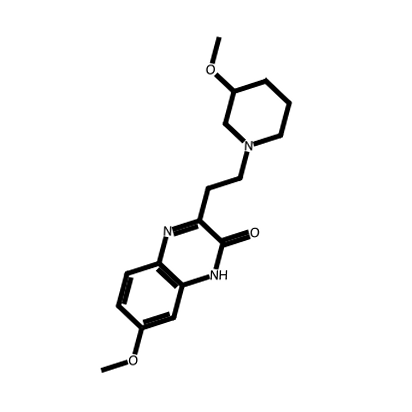 COc1ccc2nc(CCN3CC[CH]C(OC)C3)c(=O)[nH]c2c1